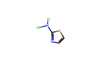 ClN(Cl)c1nccs1